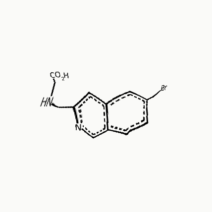 O=C(O)Nc1cc2cc(Br)ccc2cn1